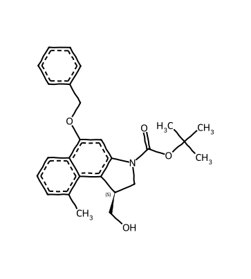 Cc1cccc2c(OCc3ccccc3)cc3c(c12)[C@H](CO)CN3C(=O)OC(C)(C)C